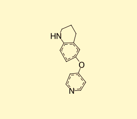 c1cc(Oc2ccc3c(c2)CCCN3)ccn1